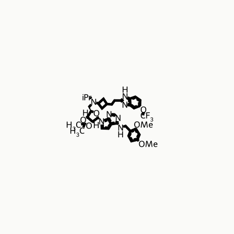 COc1ccc(CNc2ncnc3c2ccn3[C@@H]2O[C@H](CN(C(C)C)C3CC(CCc4nc5cc(OC(F)(F)F)ccc5[nH]4)C3)[C@H]3OC(C)(C)O[C@H]32)c(OC)c1